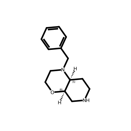 c1ccc(CN2CCO[C@@H]3CNCC[C@@H]32)cc1